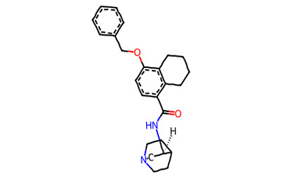 O=C(N[C@@H]1CN2CCC1CC2)c1ccc(OCc2ccccc2)c2c1CCCC2